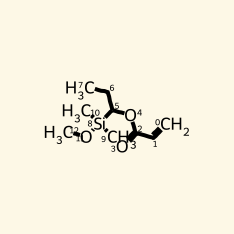 C=CC(=O)OC(CC)[Si](C)(C)OC